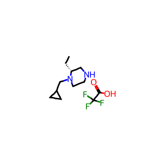 CC[C@@H]1CNCCN1CC1CC1.O=C(O)C(F)(F)F